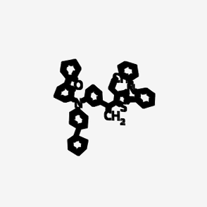 C=C(c1cccc(N(c2ccc(-c3ccccc3)cc2)c2cccc3c2oc2ccccc23)c1)c1sc2c3ccccc3n(-c3ccccc3)c2c1/C=C\C